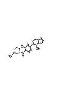 Cn1c(-c2ccc3sccc3c2O)nnc(N[C@@H]2CCCN(C3CC3)C2)c1=O